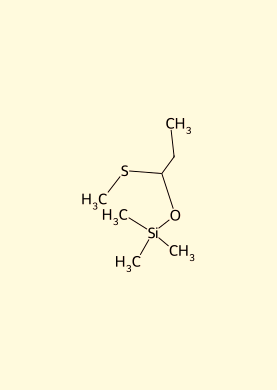 CCC(O[Si](C)(C)C)SC